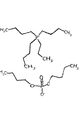 CCCCOP(=O)([O-])OCCCC.CCCC[P+](CCC)(CCCC)CCCC